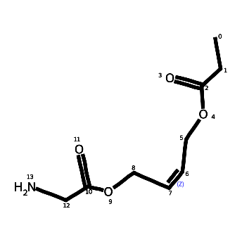 CCC(=O)OC/C=C\COC(=O)CN